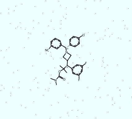 CN(C)C(=O)OC(C)(C)[C@H](c1cc(F)cc(F)c1)C1CN([C@@H](c2ccc(Cl)cc2)c2cccc(C#N)c2)C1